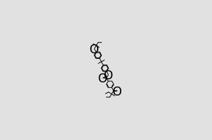 CCC(C)(C)Oc1ccc(C(C)(C)c2ccc(OC(=O)C3C=CC(C(=O)C(C)(CC)CC)=CC3)cc2)cc1